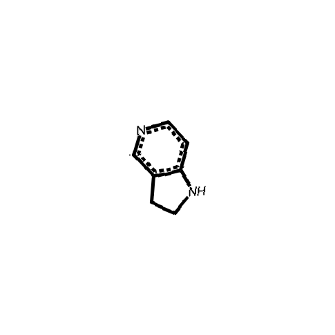 [c]1nccc2c1CCN2